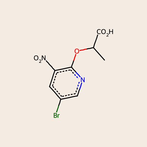 CC(Oc1ncc(Br)cc1[N+](=O)[O-])C(=O)O